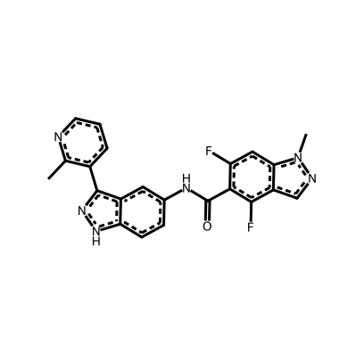 Cc1ncccc1-c1n[nH]c2ccc(NC(=O)c3c(F)cc4c(cnn4C)c3F)cc12